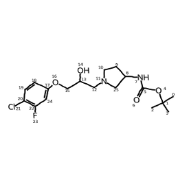 CC(C)(C)OC(=O)NC1CCN(CC(O)COc2ccc(Cl)c(F)c2)C1